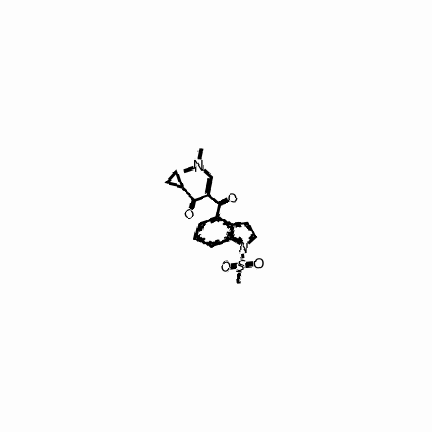 CN(C)/C=C(/C(=O)c1cccc2c1ccn2S(C)(=O)=O)C(=O)C1CC1